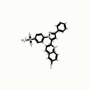 NS(=O)(=O)c1ccc(-n2nc(-c3ccccc3)cc2-c2ccc3cc(F)ccc3n2)cc1